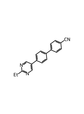 CCc1ncc(-c2ccc(-c3ccc(C#N)cc3)cc2)cn1